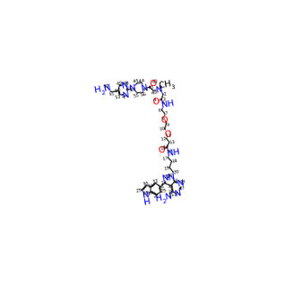 CN(CC(=O)NCCOCCOCCC(=O)NCCCCn1nc(-c2ccc3[nH]ccc3c2)c2c(N)ncnc21)CC(=O)N1CCN(c2ncc(CN)cn2)CC1